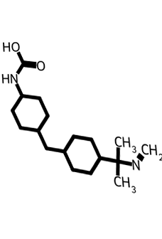 C=NC(C)(C)C1CCC(CC2CCC(NC(=O)O)CC2)CC1